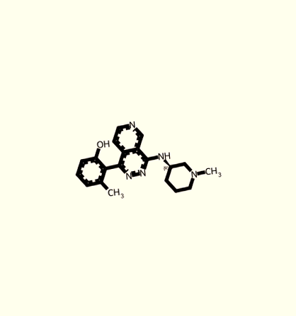 Cc1cccc(O)c1-c1nnc(N[C@@H]2CCCN(C)C2)c2cnccc12